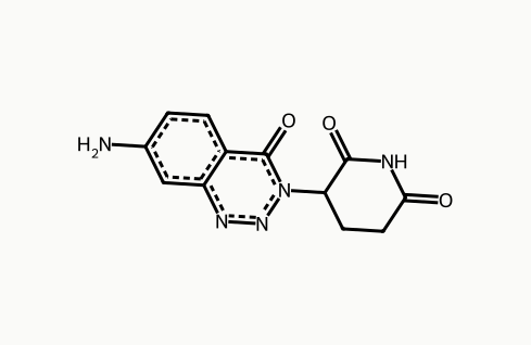 Nc1ccc2c(=O)n(C3CCC(=O)NC3=O)nnc2c1